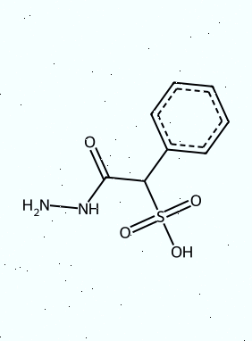 NNC(=O)C(c1ccccc1)S(=O)(=O)O